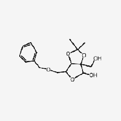 CC1(C)OC2C(COCc3ccccc3)OC(O)C2(CO)O1